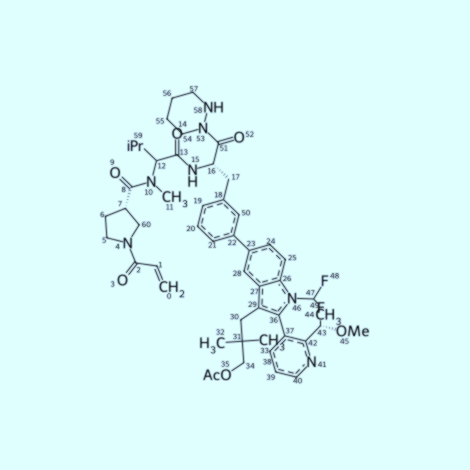 C=CC(=O)N1CC[C@H](C(=O)N(C)C(C(=O)N[C@@H](Cc2cccc(-c3ccc4c(c3)c(CC(C)(C)COC(C)=O)c(-c3cccnc3[C@H](C)OC)n4C(F)F)c2)C(=O)N2CCCCN2)C(C)C)C1